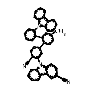 Cc1ccc(-c2ccc(C#N)c(-n3c4ccccc4c4cc(C#N)ccc43)c2)c(-c2ccccc2-n2c3ccccc3c3ccccc32)c1